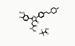 COc1cc(-c2nn(-c3ccc(CCN4CCN(C)CC4)cc3)c(=O)n2CC(=O)NC(C)C)ccc1F.O=C(O)C(F)(F)F